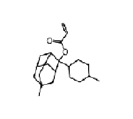 C=CC(=O)OC1(C2CCC(C)CC2)C2CC3CC1CC(C)(C3)C2